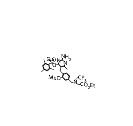 CCOC(=O)CN(Cc1ccc(Cc2c(C)nc(N)nc2OS(=O)(=O)c2c(C)cc(C)cc2C)c(OC)c1)CC(F)(F)F